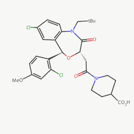 COc1ccc([C@@H]2O[C@@H](CC(=O)N3CCC(C(=O)O)CC3)C(=O)N(CC(C)(C)C)c3ccc(Cl)cc32)c(Cl)c1